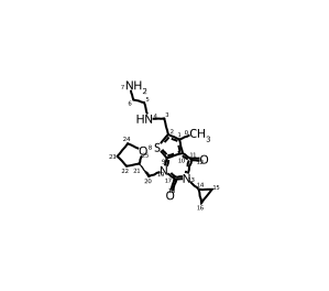 Cc1c(CNCCN)sc2c1c(=O)n(C1CC1)c(=O)n2C[C@H]1CCCO1